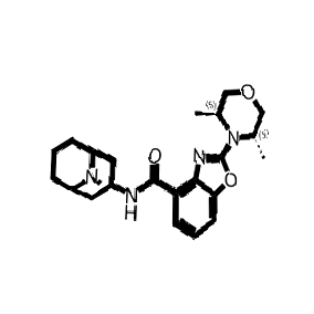 C[C@H]1COC[C@H](C)N1c1nc2c(C(=O)NC3CC4CCCC(C3)N4C)cccc2o1